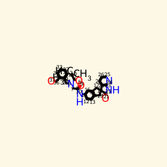 CC(C)(C)C(=O)N(CC(=O)Nc1ccc2c(c1)CC1(C2)C(=O)Nc2ncccc21)Cc1ccccc1C=O